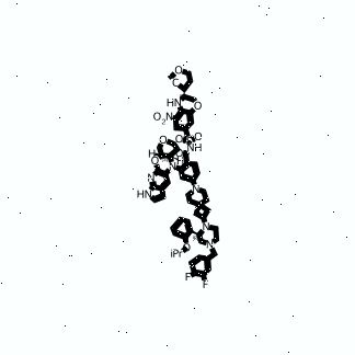 CC(C)Oc1ccccc1[C@@H]1CN(Cc2ccc(F)c(F)c2)CCN1C1CC2(CCN(c3ccc(C(=O)NS(=O)(=O)c4cc5c(c([N+](=O)[O-])c4)N[C@H](C4CCOCC4)CO5)c(N4c5cc6cc[nH]c6nc5O[C@@H]5COCC[C@H]54)c3)CC2)C1